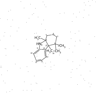 CC1(C)C[C]CC2(C)Nc3ccccc3C12C